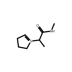 CNC(=O)C(C)[Si]1=CCCC1